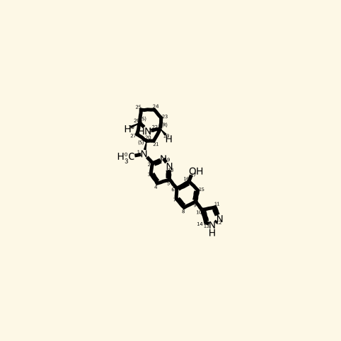 CN(c1ccc(-c2ccc(-c3cn[nH]c3)cc2O)nn1)[C@@H]1C[C@H]2CCC[C@@H](C1)N2